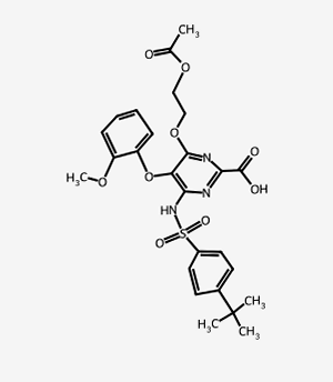 COc1ccccc1Oc1c(NS(=O)(=O)c2ccc(C(C)(C)C)cc2)nc(C(=O)O)nc1OCCOC(C)=O